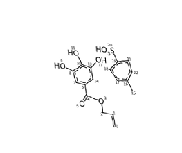 C=CCOC(=O)c1cc(O)c(O)c(O)c1.Cc1ccc(S(=O)(=O)O)cc1